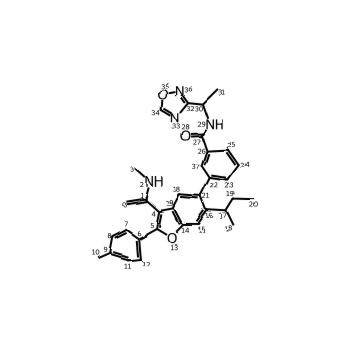 C=C(NC)c1c(-c2ccc(C)cc2)oc2cc(C(C)CC)c(-c3cccc(C(=O)NC(C)c4ncon4)c3)cc12